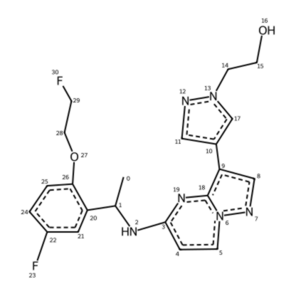 CC(Nc1ccn2ncc(-c3cnn(CCO)c3)c2n1)c1cc(F)ccc1OCCF